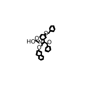 O=C(O)Cn1c(COc2ccc3ccccc3c2)c(C(=O)c2ccccc2)c2cc(OCc3ccccc3)ccc21